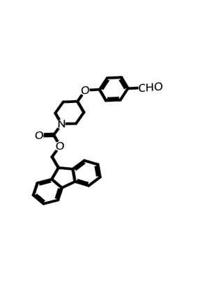 O=Cc1ccc(OC2CCN(C(=O)OCC3c4ccccc4-c4ccccc43)CC2)cc1